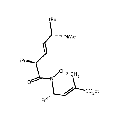 CCOC(=O)/C(C)=C/[C@H](C(C)C)N(C)C(=O)[C@H](/C=C/[C@@H](NC)C(C)(C)C)C(C)C